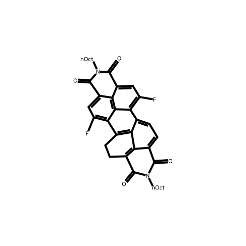 CCCCCCCCN1C(=O)C2=c3c(ccc4c3c(c3c(F)cc5c6c(cc(F)c4c63)C(=O)N(CCCCCCCC)C5=O)CC2)C1=O